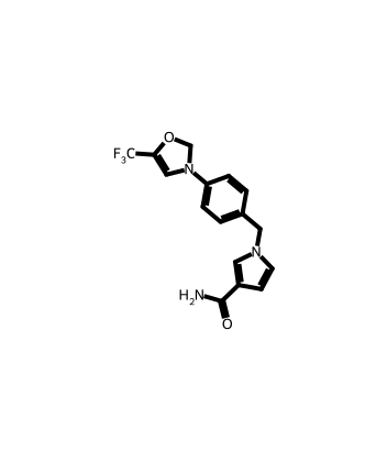 NC(=O)c1ccn(Cc2ccc(N3C=C(C(F)(F)F)OC3)cc2)c1